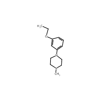 C[CH]Oc1cccc(N2CCN(C)CC2)c1